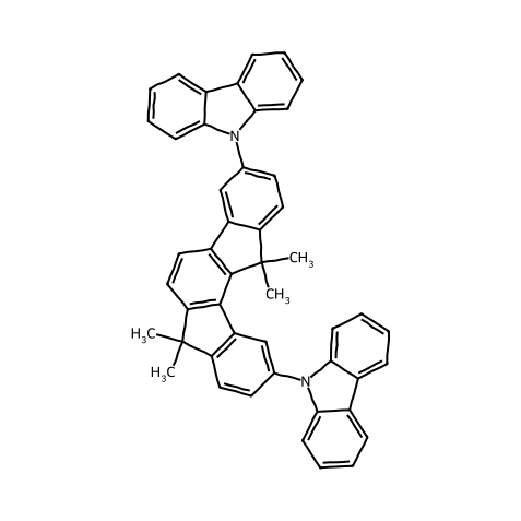 CC1(C)c2ccc(-n3c4ccccc4c4ccccc43)cc2-c2c1ccc1c2C(C)(C)c2ccc(-n3c4ccccc4c4ccccc43)cc2-1